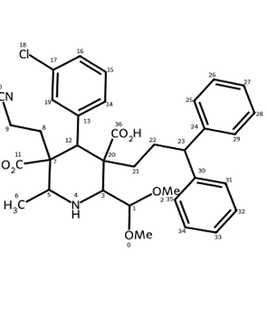 COC(OC)C1NC(C)C(CCC#N)(C(=O)O)C(c2cccc(Cl)c2)C1(CCC(c1ccccc1)c1ccccc1)C(=O)O